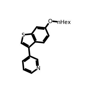 CCCCCCOc1ccc2c(-c3cccnc3)csc2c1